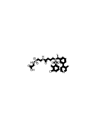 Cc1cnccc1-c1cccc([C@H](C)N(CCCC(=O)NCCS(=O)(=O)NCC(=O)O)S(=O)(=O)c2cccc(Cl)c2C)c1